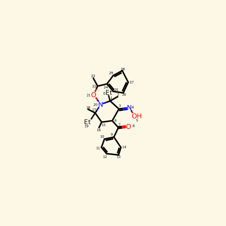 CCC1(C)/C(=N/O)C(C(=O)c2ccccc2)C(C)C(C)(CC)N1OC(C)c1ccccc1